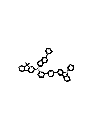 CC1(C)c2ccccc2-c2ccc(N(c3cccc(-c4ccc(-c5ccc6c(c5)c5ccccc5n6-c5ccccc5)cc4)c3)c3ccc4cc(-c5ccccc5)ccc4c3)cc21